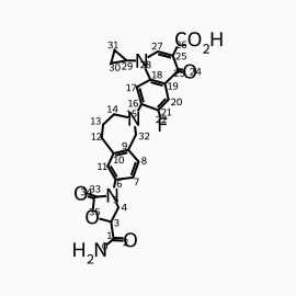 NC(=O)C1CN(c2ccc3c(c2)CCCN(c2cc4c(cc2F)c(=O)c(C(=O)O)cn4C2CC2)C3)C(=O)O1